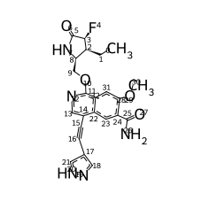 CC[C@@H]1[C@H](F)C(=O)N[C@@H]1COc1ncc(C#Cc2cn[nH]c2)c2cc(C(N)=O)c(OC)cc12